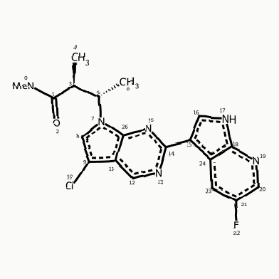 CNC(=O)[C@@H](C)[C@H](C)n1cc(Cl)c2cnc(-c3c[nH]c4ncc(F)cc34)nc21